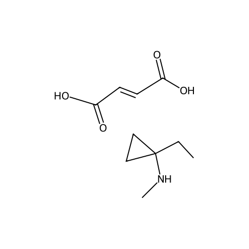 CCC1(NC)CC1.O=C(O)/C=C/C(=O)O